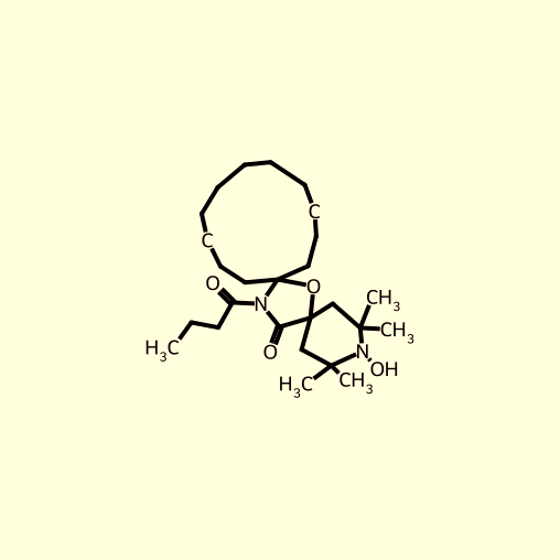 CCCC(=O)N1C(=O)C2(CC(C)(C)N(O)C(C)(C)C2)OC12CCCCCCCCCCC2